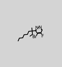 CCCCCCC(C)(CC)c1nncc(F)c1Br